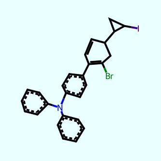 BrC1=C(c2ccc(N(c3ccccc3)c3ccccc3)cc2)C=CC(C2CC2I)C1